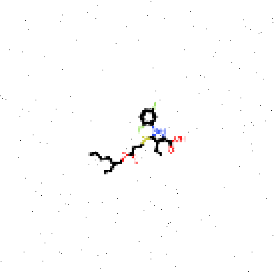 CCCCC(CC)COC(=O)CCSc1c(CC)c(C(=O)O)nn1-c1cc(F)ccc1F